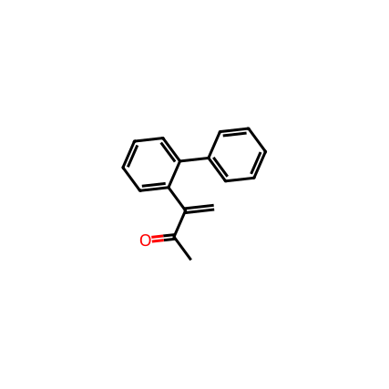 C=C(C(C)=O)c1ccccc1-c1ccccc1